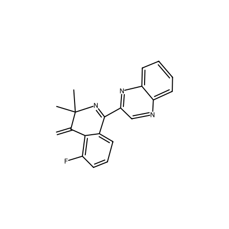 C=C1c2c(F)cccc2C(c2cnc3ccccc3n2)=NC1(C)C